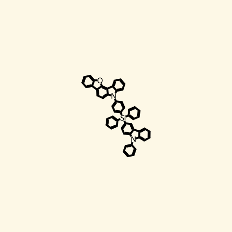 c1ccc(-n2c3ccccc3c3cc([Si](c4ccccc4)(c4ccccc4)c4ccc(-n5c6ccccc6c6c7oc8ccccc8c7ccc65)cc4)ccc32)cc1